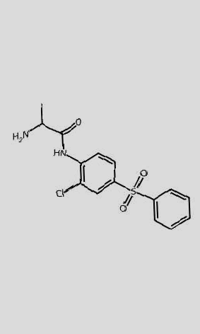 CC(N)C(=O)Nc1ccc(S(=O)(=O)c2ccccc2)cc1Cl